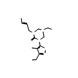 C/C=C/CN1CN(CC)CN(c2snc(CC)c2C)C1=O